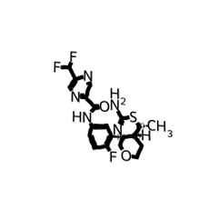 C[C@H]1SC(N)=N[C@@]2(c3cc(NC(=O)c4cnc(C(F)F)cn4)ccc3F)COCC[C@@H]12